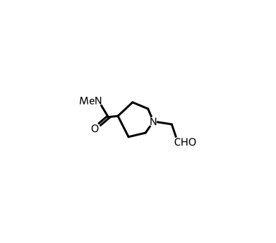 CNC(=O)C1CCN(CC=O)CC1